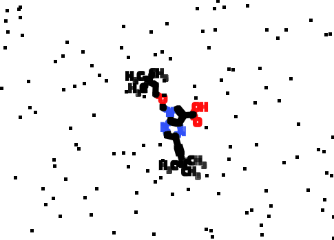 C[Si](C)(C)C#Cc1cnc2c(n1)c(C(=O)O)cn2COCC[Si](C)(C)C